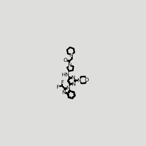 O=C(CN1CCCCC1)N1CC[C@H](Nc2cc(-n3c(C(F)F)nc4ccccc43)nc(N3CCOCC3)n2)C1